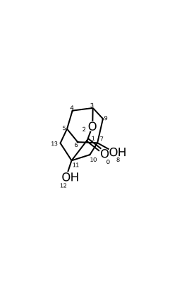 O=C1OC2CC3CC(O)(C2)CC1(O)C3